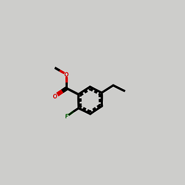 CCc1ccc(F)c(C(=O)OC)c1